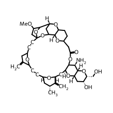 C=C1CC2CCC34CC(OC)C(O3)[C@H]3CC(O4)[C@H]4OC(CCC4O3)CC(=O)OC3[C@H](C[C@H]4O[C@@H](CCC1O2)C[C@@H](C)C4=C)O[C@H]1C[C@@H](O)[C@@H](CO)O[C@H]1[C@@H]3N